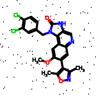 COc1cc2c(cc1-c1c(C)noc1C)ncc1[nH]c(=O)n(Cc3ccc(Cl)c(Cl)c3)c12